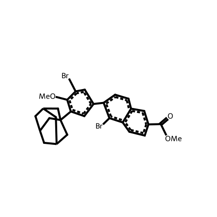 COC(=O)c1ccc2c(Br)c(-c3cc(Br)c(OC)c(C45CC6CC(CC(C6)C4)C5)c3)ccc2c1